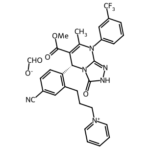 COC(=O)C1=C(C)N(c2cccc(C(F)(F)F)c2)c2n[nH]c(=O)n2[C@@H]1c1ccc(C#N)cc1CCC[n+]1ccccc1.O=C[O-]